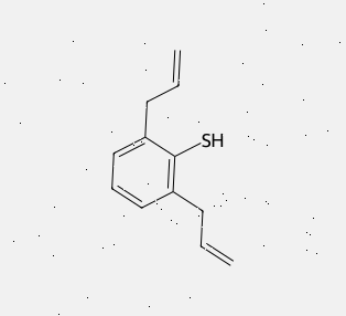 C=CCc1cccc(CC=C)c1S